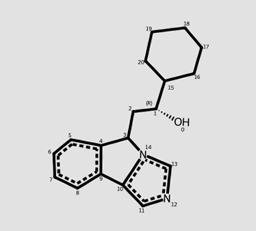 O[C@H](CC1c2ccccc2-c2cncn21)C1CCCCC1